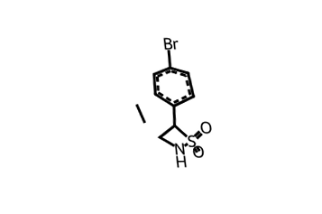 CC.O=S1(=O)NCC1c1ccc(Br)cc1